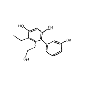 CCc1c(O)cc(O)c(-c2cccc(O)c2)c1CCO